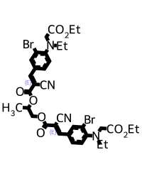 CCOC(=O)CN(CC)c1ccc(/C=C(\C#N)C(=O)OCC(C)OC(=O)/C(C#N)=C/c2ccc(N(CC)CC(=O)OCC)c(Br)c2)cc1Br